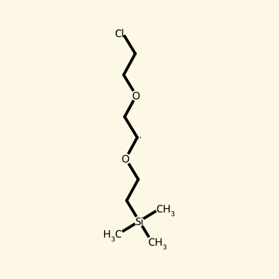 C[Si](C)(C)CCO[CH]COCCCl